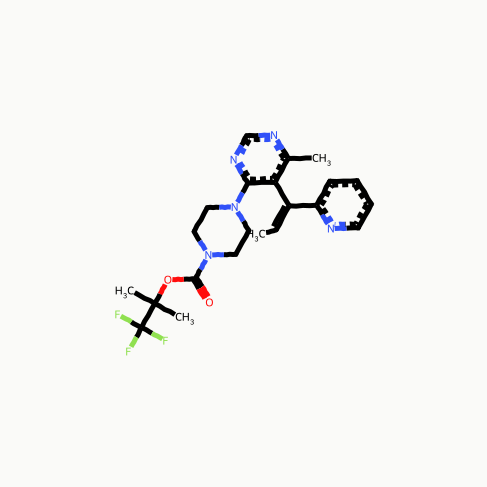 C/C=C(/c1ccccn1)c1c(C)ncnc1N1CCN(C(=O)OC(C)(C)C(F)(F)F)CC1